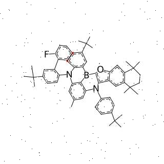 Cc1cc2c3c(c1)N(c1ccc(C(C)(C)C)cc1)c1c(oc4cc5c(cc14)C(C)(C)CCC5(C)C)B3c1cc(C(C)(C)C)ccc1N2c1ccc(C(C)(C)C)cc1-c1ccccc1F